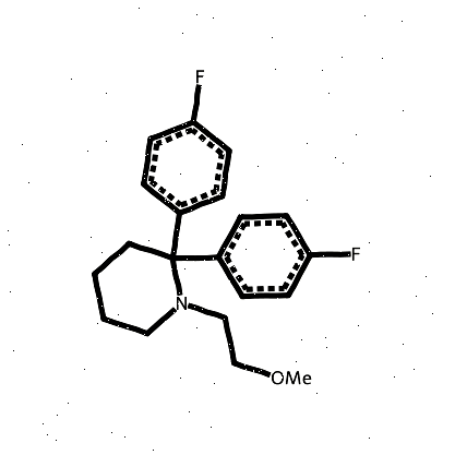 COCCN1CCCCC1(c1ccc(F)cc1)c1ccc(F)cc1